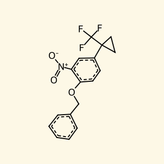 O=[N+]([O-])c1cc(C2(C(F)(F)F)CC2)ccc1OCc1ccccc1